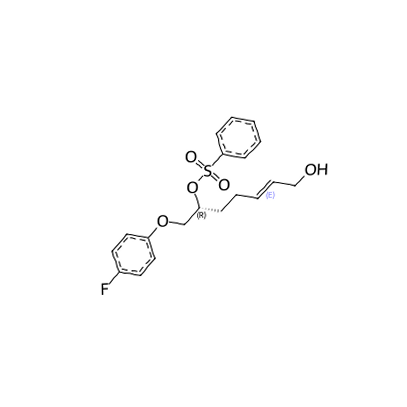 O=S(=O)(O[C@H](CC/C=C/CO)COc1ccc(F)cc1)c1ccccc1